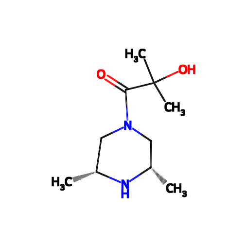 C[C@@H]1CN(C(=O)C(C)(C)O)C[C@H](C)N1